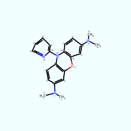 CN(C)c1ccc2c(c1)Oc1cc(N(C)C)ccc1N2c1ccccn1